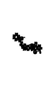 Cn1cnc2c1c(=O)n(CC(O)CN1CCN(CCC[S+]([O-])c3ccccc3)CC1)c(=O)n2C